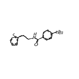 CCCCc1ccc(C(=O)NCCc2cccs2)cc1